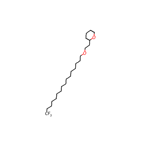 FC(F)(F)CCCCCCCCCCCCCCCOCCC1CCCCO1